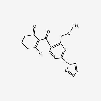 CSCc1nc(-n2cncn2)ccc1C(=O)C1=C(Cl)CCCC1=O